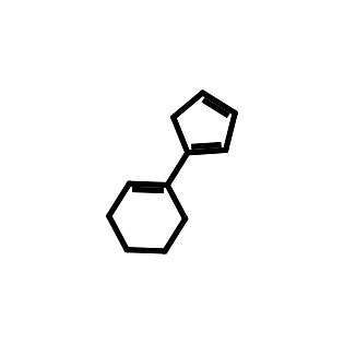 C1=CCC(C2=CCCCC2)=C1